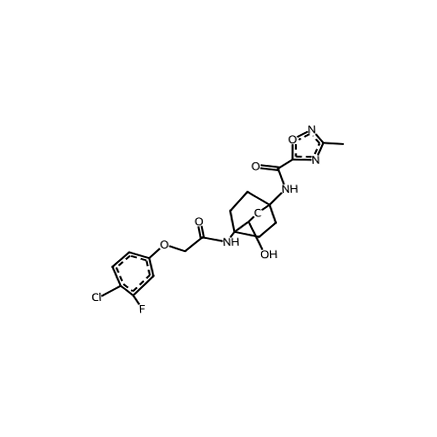 Cc1noc(C(=O)NC23CCC(NC(=O)COc4ccc(Cl)c(F)c4)(CC2)C(O)C3)n1